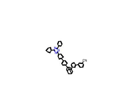 N#Cc1cccc(-c2cccc(C34CC5CC(CC(c6ccc(-c7ccc(-c8nc(-c9ccccc9)nc(-c9ccccc9)n8)cc7)cc6)(C5)C3)C4)c2)c1